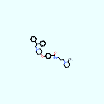 CC1CCCCN1CCCNC(=O)c1ccc(OC2CCN(CC(c3ccccc3)c3ccccc3)CC2)cc1